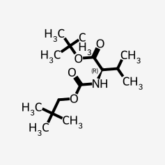 CC(C)[C@@H](NC(=O)OCC(C)(C)C)C(=O)OC(C)(C)C